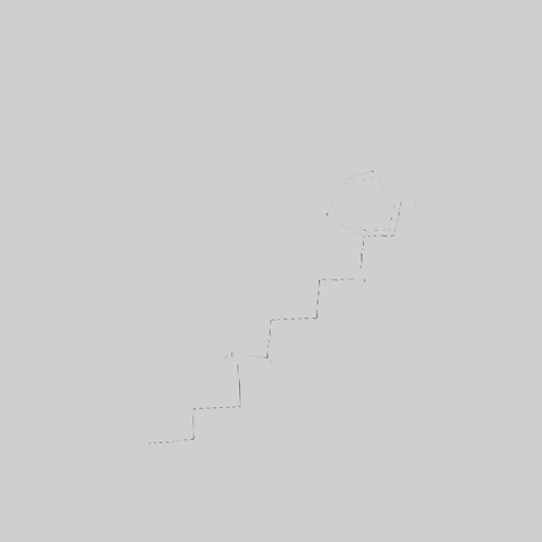 CCCCOCCCCOc1[c]cccc1